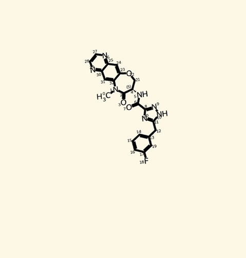 CN1C(=O)[C@@H](NC(=O)c2n[nH]c(Cc3cccc(F)c3)n2)COc2cc3nccnc3cc21